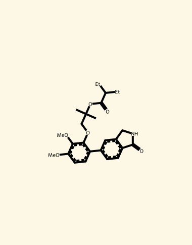 CCC(CC)C(=O)OC(C)(C)COc1c(-c2ccc3c(c2)CNC3=O)ccc(OC)c1OC